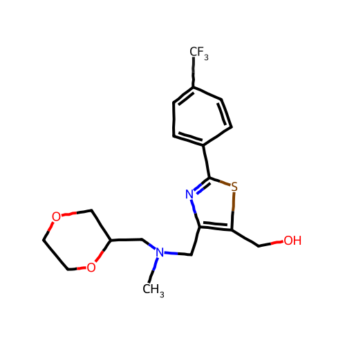 CN(Cc1nc(-c2ccc(C(F)(F)F)cc2)sc1CO)CC1COCCO1